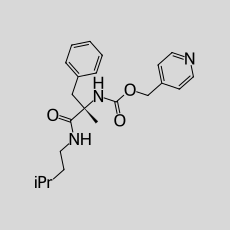 CC(C)CCNC(=O)[C@](C)(Cc1ccccc1)NC(=O)OCc1ccncc1